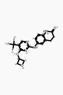 O=C1CCc2cc(Nc3ncc(C(F)(F)F)c(OC4COC4)n3)ccc2N1